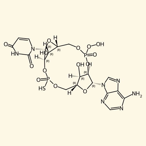 Nc1ncnc2c1ncn2[C@@H]1O[C@@H]2COP(=O)(S)O[C@@H]3[C@H](O)[C@@H](COP(=O)(OO)O[C@@H]1[C@@H]2O)O[C@H]3n1ccc(=O)[nH]c1=O